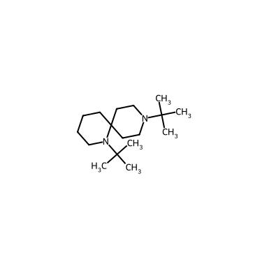 CC(C)(C)N1CCC2(CCCCN2C(C)(C)C)CC1